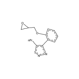 CCCc1snnc1-c1ccccc1OCC1CO1